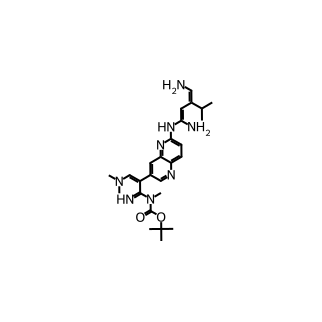 CC(C)C(=C/N)/C=C(\N)Nc1ccc2ncc(/C(=C/N(C)C)C(=N)N(C)C(=O)OC(C)(C)C)cc2n1